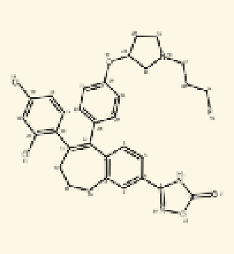 O=c1[nH]c(-c2ccc3c(c2)CCCC(c2ccc(Cl)cc2Cl)=C3c2ccc(OC3CCN(CCCF)C3)cc2)no1